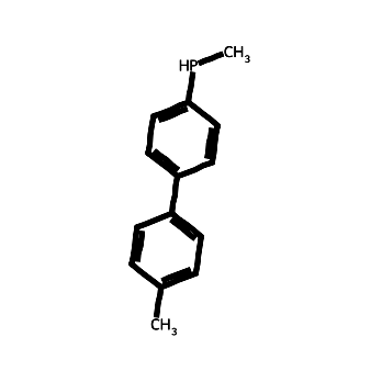 CPc1ccc(-c2ccc(C)cc2)cc1